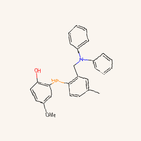 COc1ccc(O)c(Pc2ccc(C)cc2CN(c2ccccc2)c2ccccc2)c1